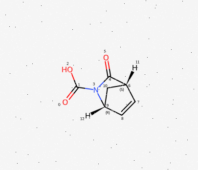 O=C(O)N1C(=O)[C@@H]2C=C[C@H]1C2